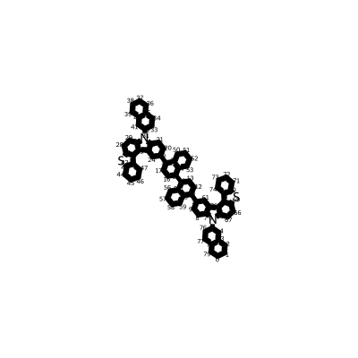 c1ccc2cc(-n3c4ccc(-c5ccc(-c6ccc(-c7ccc8c(c7)c7c9c(ccc7n8-c7ccc8ccccc8c7)sc7ccccc79)c7ccccc67)c6ccccc56)cc4c4c5c(ccc43)sc3ccccc35)ccc2c1